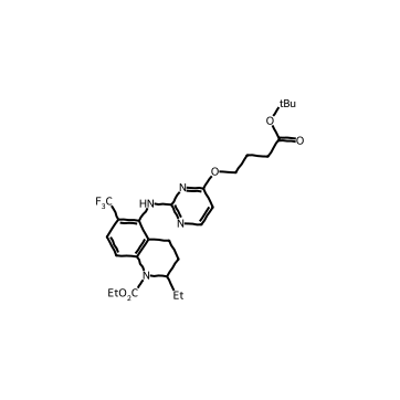 CCOC(=O)N1c2ccc(C(F)(F)F)c(Nc3nccc(OCCCC(=O)OC(C)(C)C)n3)c2CCC1CC